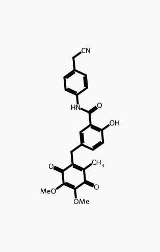 COC1=C(OC)C(=O)C(Cc2ccc(O)c(C(=O)Nc3ccc(CC#N)cc3)c2)=C(C)C1=O